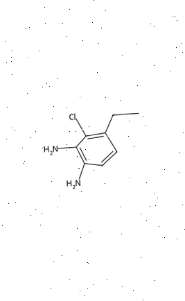 CCc1ccc(N)c(N)c1Cl